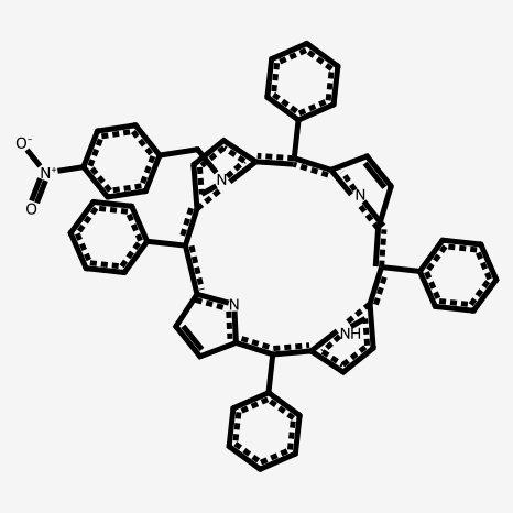 O=[N+]([O-])c1ccc(Cn2c3ccc2c(-c2ccccc2)c2nc(c(-c4ccccc4)c4ccc([nH]4)c(-c4ccccc4)c4nc(c3-c3ccccc3)C=C4)C=C2)cc1